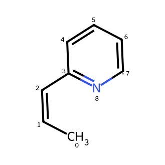 C/C=C\c1ccc[c]n1